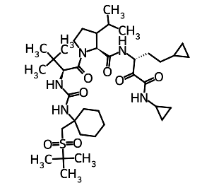 CC(C)C1CCN(C(=O)[C@@H](NC(=O)NC2(CS(=O)(=O)C(C)(C)C)CCCCC2)C(C)(C)C)[C@@H]1C(=O)N[C@H](CCC1CC1)C(=O)C(=O)NC1CC1